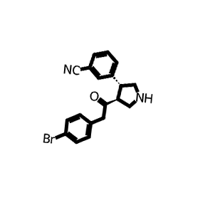 N#Cc1cccc([C@@H]2CNC[C@H]2C(=O)Cc2ccc(Br)cc2)c1